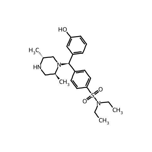 CCN(CC)S(=O)(=O)c1ccc([C@H](c2cccc(O)c2)N2C[C@@H](C)NC[C@@H]2C)cc1